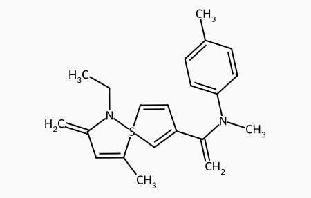 C=C(C1=CS2(C=C1)C(C)=CC(=C)N2CC)N(C)c1ccc(C)cc1